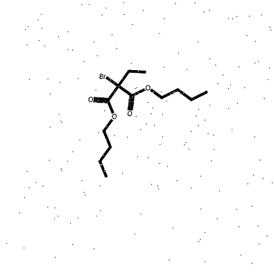 CCCCOC(=O)C(Br)(CC)C(=O)OCCCC